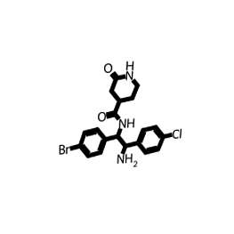 NC(c1ccc(Cl)cc1)C(NC(=O)C1CCNC(=O)C1)c1ccc(Br)cc1